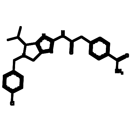 CC(C)C1c2nc(NC(=O)Cc3ccc(C(N)=O)cc3)sc2CN1Cc1ccc(Cl)cc1